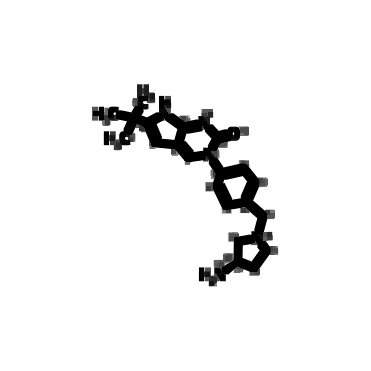 CC(C)(C)c1cc2cn(-c3ccc(CN4CC[C@@H](N)C4)cc3)c(=O)nc2[nH]1